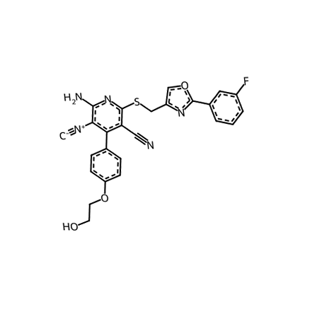 [C-]#[N+]c1c(N)nc(SCc2coc(-c3cccc(F)c3)n2)c(C#N)c1-c1ccc(OCCO)cc1